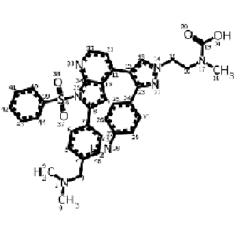 CN(C)Cc1ccc(-c2cc3c(-c4cn(CCN(C)C(=O)O)nc4-c4ccc(N)cc4)ccnc3n2S(=O)(=O)c2ccccc2)cc1